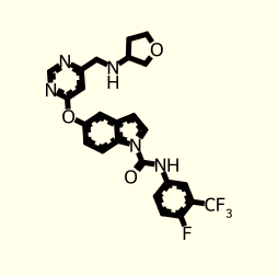 O=C(Nc1ccc(F)c(C(F)(F)F)c1)n1ccc2cc(Oc3cc(CNC4CCOC4)ncn3)ccc21